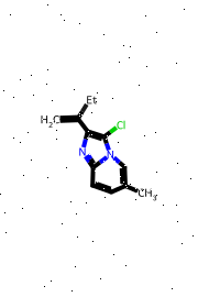 C=C(CC)c1nc2ccc(C)cn2c1Cl